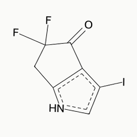 O=C1c2c(I)c[nH]c2CC1(F)F